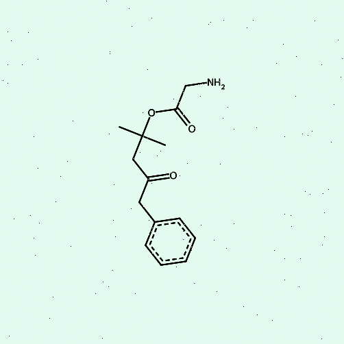 CC(C)(CC(=O)Cc1ccccc1)OC(=O)CN